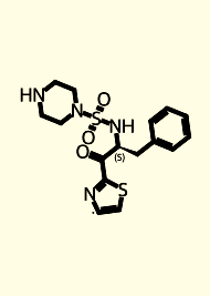 O=C(c1n[c]cs1)[C@H](Cc1ccccc1)NS(=O)(=O)N1CCNCC1